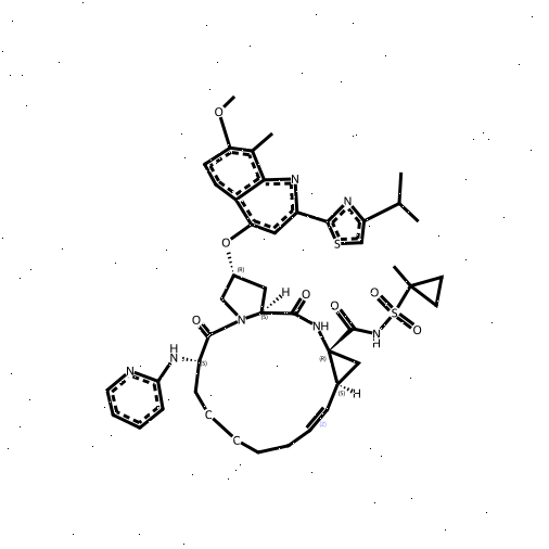 COc1ccc2c(O[C@@H]3C[C@H]4C(=O)N[C@]5(C(=O)NS(=O)(=O)C6(C)CC6)C[C@H]5/C=C\CCCCC[C@H](Nc5ccccn5)C(=O)N4C3)cc(-c3nc(C(C)C)cs3)nc2c1C